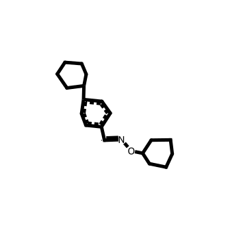 [C](=N\OC1CCCCC1)/c1ccc(C2CCCCC2)cc1